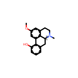 COc1cc2c3c(c1)-c1c(O)cccc1C[C@H]3N(C)CC2